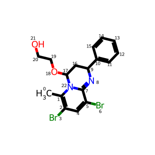 CC1=C(Br)C=C(Br)C2=NC(c3ccccc3)CC(OCCO)N21